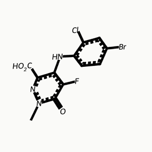 Cn1nc(C(=O)O)c(Nc2ccc(Br)cc2Cl)c(F)c1=O